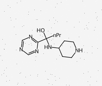 CCCC(O)(NC1CCNCC1)c1ncncn1